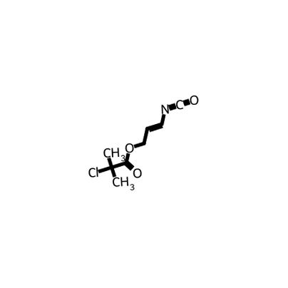 CC(C)(Cl)C(=O)OCC=CN=C=O